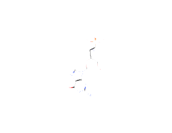 CCOP(=O)(/C=C/C(CO)OCn1cnc2c(=O)[nH]c(N)nc21)OCC